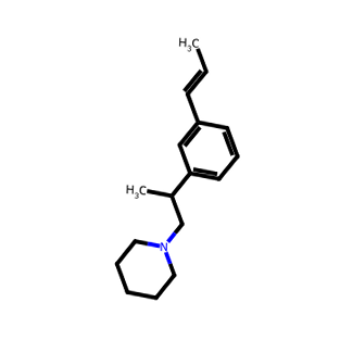 CC=Cc1cccc(C(C)CN2CCCCC2)c1